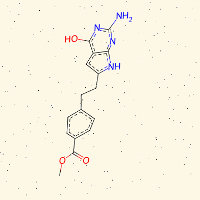 COC(=O)c1ccc(CCc2cc3c(O)nc(N)nc3[nH]2)cc1